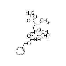 CCC(CP(=O)(OC)C(C)NC(=O)OCc1ccccc1)C(=O)OC